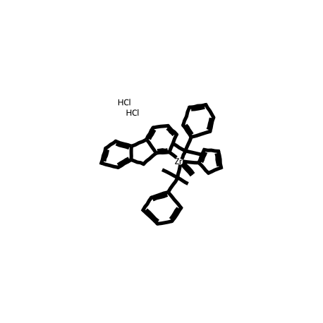 Cl.Cl.[CH2]=[Zr]([C]1=CC=CC1)([c]1cccc2c1Cc1ccccc1-2)([C](C)(C)c1ccccc1)[C](C)(C)c1ccccc1